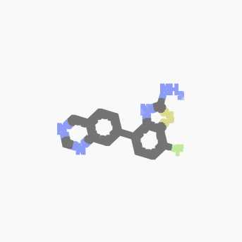 Nc1nc2c(-c3ccc4cncnc4c3)ccc(F)c2s1